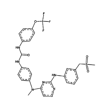 CN(c1ccc(NC(=O)Nc2ccc(OC(F)(F)F)cc2)cc1)c1ccnc(Nc2cccc(CS(C)(=O)=O)c2)n1